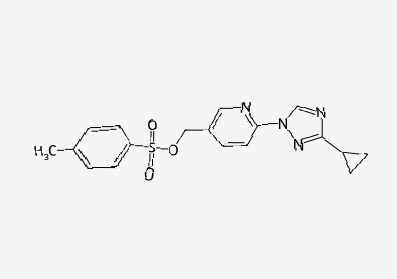 Cc1ccc(S(=O)(=O)OCc2ccc(-n3cnc(C4CC4)n3)nc2)cc1